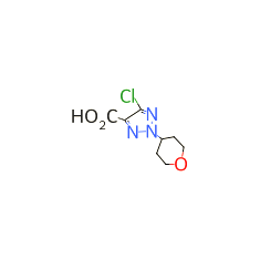 O=C(O)c1nn(C2CCOCC2)nc1Cl